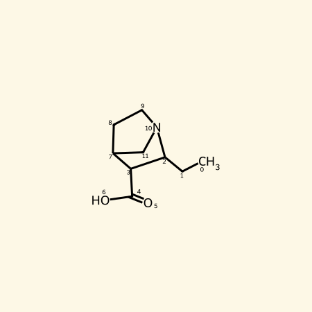 CCC1C(C(=O)O)C2CCN1C2